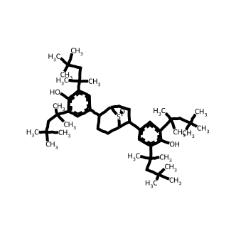 CC(C)(C)CC(C)(C)c1cc(C2CCC3C(c4cc(C(C)(C)CC(C)(C)C)c(O)c(C(C)(C)CC(C)(C)C)c4)CCC2[S+]3[O-])cc(C(C)(C)CC(C)(C)C)c1O